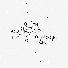 CCOC(=O)OC(C)OC(=O)C1C(C)C(=O)[C@@H]2C(C(C)OC(C)=O)C(=O)N12